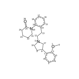 COc1ccccc1C1CCN(CCc2ccccc2N2CCCCC2=O)C1